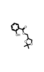 CC1(C)OCC(COC(=O)c2ccccc2O)O1